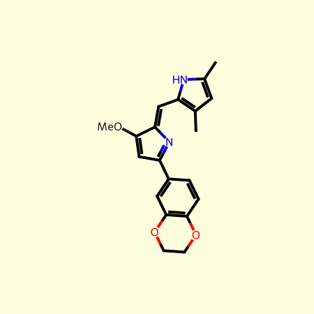 COC1=CC(c2ccc3c(c2)OCCO3)=N/C1=C\c1[nH]c(C)cc1C